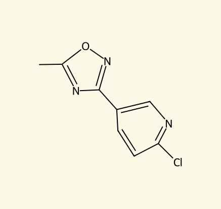 Cc1nc(-c2ccc(Cl)nc2)no1